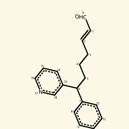 O=CC=CCCCC(c1ccccc1)c1cccnc1